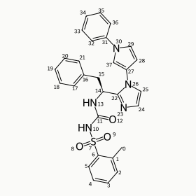 Cc1ccccc1S(=O)(=O)NC(=O)N[C@@H](Cc1ccccc1)c1nccn1-c1ccn(-c2ccccc2)c1